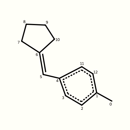 Cc1ccc(C=C2CCCC2)cc1